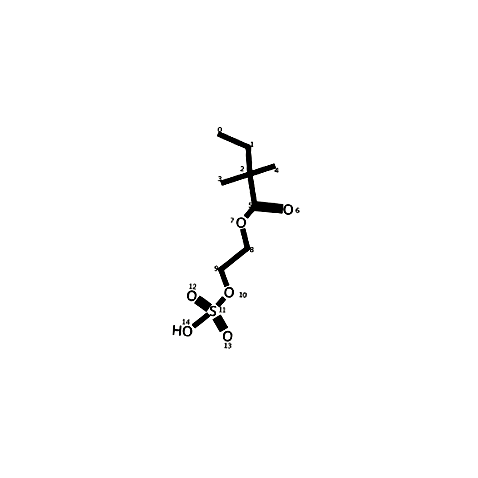 CCC(C)(C)C(=O)OCCOS(=O)(=O)O